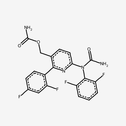 NC(=O)OCc1ccc(N(C(N)=O)c2c(F)cccc2F)nc1-c1ccc(F)cc1F